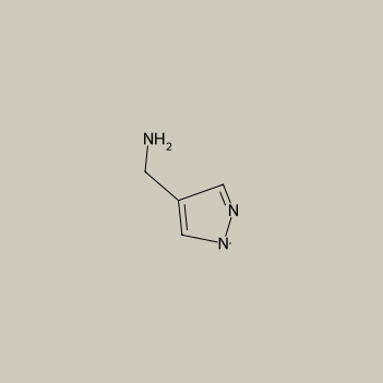 NCC1=C[N]N=C1